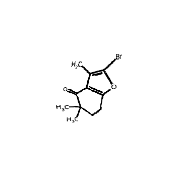 Cc1c(Br)oc2c1C(=O)C(C)(C)CC2